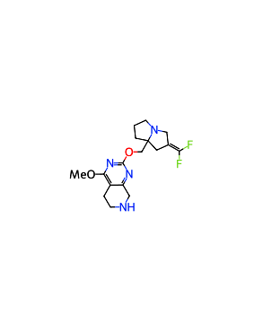 COc1nc(OCC23CCCN2CC(=C(F)F)C3)nc2c1CCNC2